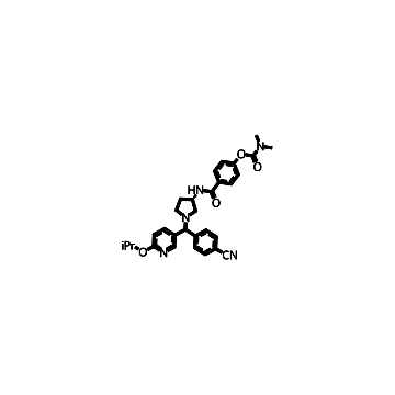 CC(C)Oc1ccc(C(c2ccc(C#N)cc2)N2CC[C@@H](NC(=O)c3ccc(OC(=O)N(C)C)cc3)C2)cn1